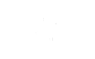 ClC(Cl)C(Cl)I